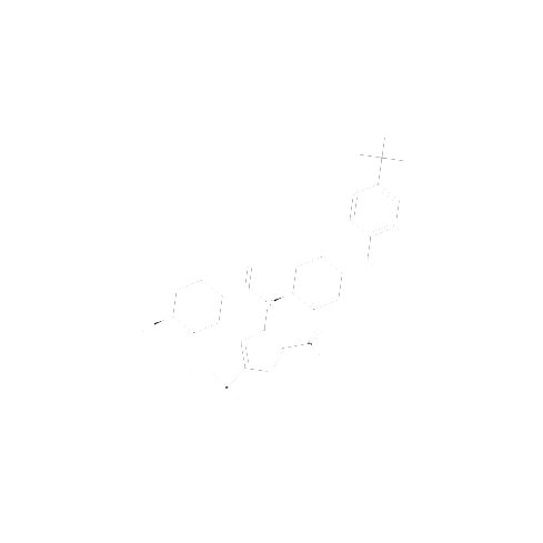 CC(C)(C)c1cc(N(C(=O)[C@H]2CC[C@H](C)CC2)[C@H]2CC[C@H](Oc3ccc(C(F)(F)F)cn3)CC2)c(C(=O)O)s1